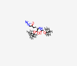 [2H]C([2H])([2H])C([2H])([2H])OCC(=O)N[C@@H](CCC(=O)C=[N+]=[N-])C(=O)OC([2H])(C([2H])([2H])[2H])C([2H])([2H])[2H]